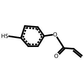 C=CC(=O)Oc1ccc(S)cc1